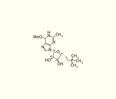 C=P(C)(C)CC[C@H]1O[C@@H](n2cnc3c2N=C(C)NC3OC)[C@H](O)[C@@H]1O